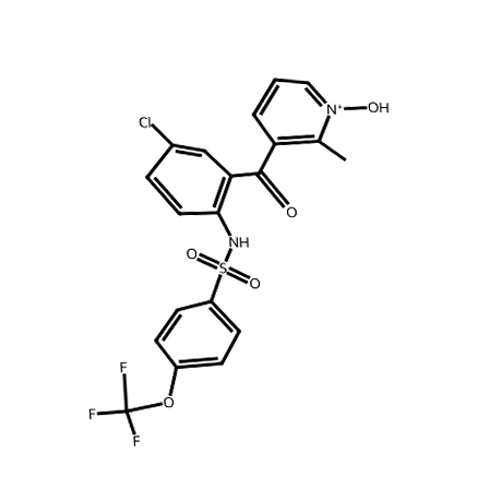 Cc1c(C(=O)c2cc(Cl)ccc2NS(=O)(=O)c2ccc(OC(F)(F)F)cc2)ccc[n+]1O